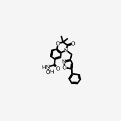 CC1(C)Oc2ccc(C(=O)NO)cc2N(Cc2cc(-c3ccccc3)on2)C1=O